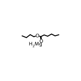 CCCCCC(=O)OCCCC.[MgH2]